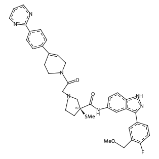 COCc1cc(-c2n[nH]c3ccc(NC(=O)[C@]4(SC)CCN(CC(=O)N5CC=C(c6ccc(-c7ncccn7)cc6)CC5)C4)cc23)ccc1F